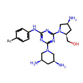 CC(=O)c1ccc(Nc2nc(N3C[C@H](N)C[C@H](N)C3)nc(N3C[C@@H](N)C[C@H]3CO)n2)cc1